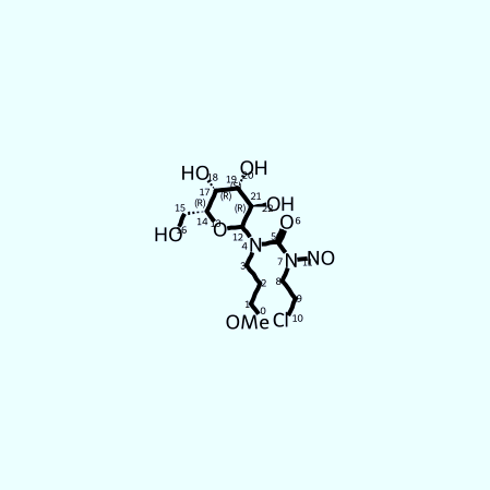 COCCCN(C(=O)N(CCCl)N=O)C1O[C@H](CO)[C@H](O)[C@H](O)[C@H]1O